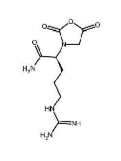 N=C(N)NCCC[C@@H](C(N)=O)N1CC(=O)OC1=O